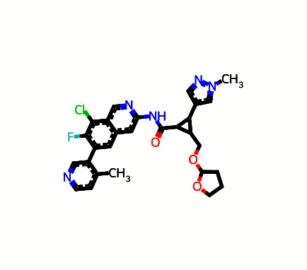 Cc1ccncc1-c1cc2cc(NC(=O)C3C(COC4CCCO4)C3c3cnn(C)c3)ncc2c(Cl)c1F